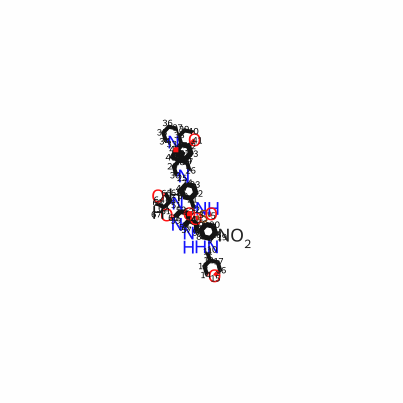 O=C(NS(=O)(=O)c1ccc(NCC2CCOCC2)c([N+](=O)[O-])c1)c1ccc(N2CCC3(CC2)CC(N2CCCC[C@]24CCOc2ccccc24)C3)cc1N1c2cc3cc[nH]c3nc2O[C@@H]2COC[C@H]21